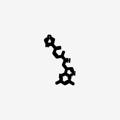 C=C(/C=C\C(C)NCC1C=NN2C(C)=CC(C)=NC12)c1cocn1